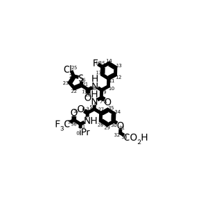 CC(C)C(NC(=O)C(NC(=O)C(Cc1cccc(F)c1)NC(=O)c1ccc(Cl)s1)c1ccc(OCC(=O)O)cc1)C(=O)C(F)(F)F